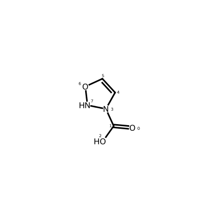 O=C(O)N1C=CON1